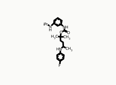 CC(C)Nc1cccc(NC(=O)OC(C)(C)CCC(C)Nc2ccc(F)cc2)c1